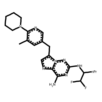 CCCC(Nc1nc(N)c2ncc(Cc3cnc(N4CCCCC4)c(C)c3)n2n1)C(F)F